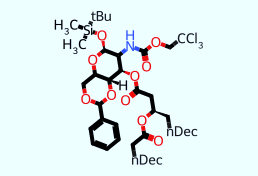 CCCCCCCCCCCC(=O)O[C@H](CCCCCCCCCCC)CC(=O)O[C@@H]1C(NC(=O)OCC(Cl)(Cl)Cl)[C@H](O[Si](C)(C)C(C)(C)C)OC2COC(c3ccccc3)O[C@H]21